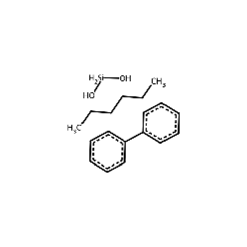 CCCCCC.O[SiH2]O.c1ccc(-c2ccccc2)cc1